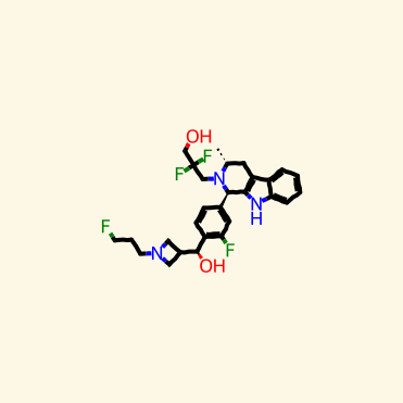 C[C@@H]1Cc2c([nH]c3ccccc23)[C@@H](c2ccc([C@@H](O)C3CN(CCCF)C3)c(F)c2)N1CC(F)(F)CO